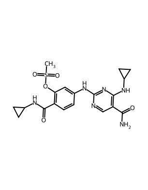 CS(=O)(=O)Oc1cc(Nc2ncc(C(N)=O)c(NC3CC3)n2)ccc1C(=O)NC1CC1